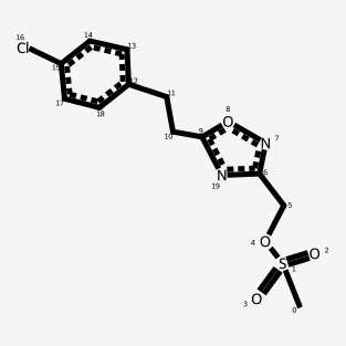 CS(=O)(=O)OCc1noc(CCc2ccc(Cl)cc2)n1